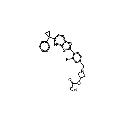 O=C(O)OC1CN(Cc2ccc(-c3nc4ccc(C5(c6ccccc6)CC5)nc4s3)c(F)c2)C1